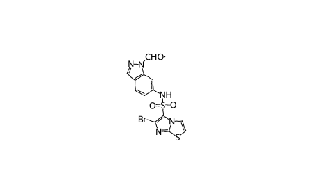 O=[C]n1ncc2ccc(NS(=O)(=O)c3c(Br)nc4sccn34)cc21